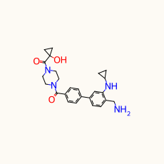 NCc1ccc(-c2ccc(C(=O)N3CCN(C(=O)C4(O)CC4)CC3)cc2)cc1NC1CC1